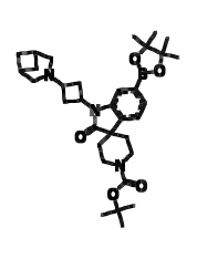 CC(C)(C)OC(=O)N1CCC2(CC1)C(=O)N(C1CC(N3CC4CC(C4)C3)C1)c1cc(B3OC(C)(C)C(C)(C)O3)ccc12